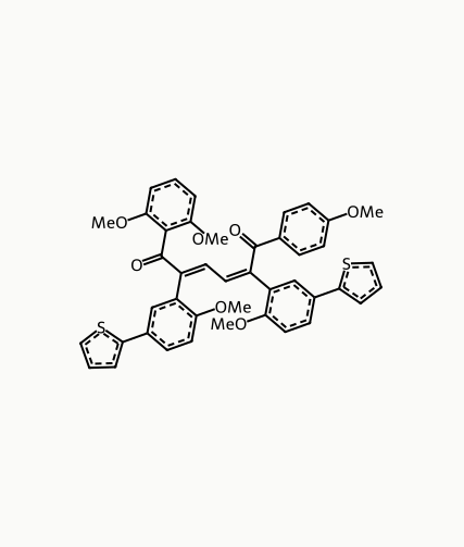 COc1ccc(C(=O)C(=CC=C(C(=O)c2c(OC)cccc2OC)c2cc(-c3cccs3)ccc2OC)c2cc(-c3cccs3)ccc2OC)cc1